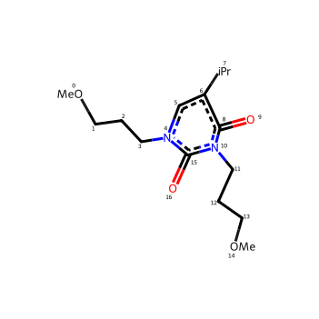 COCCCn1cc(C(C)C)c(=O)n(CCCOC)c1=O